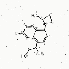 CC(CO)c1cnc(N2CCC2C)c2cnc(Cl)cc12